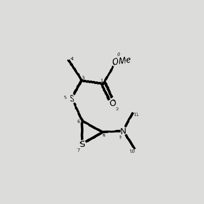 COC(=O)C(C)SC1SC1N(C)C